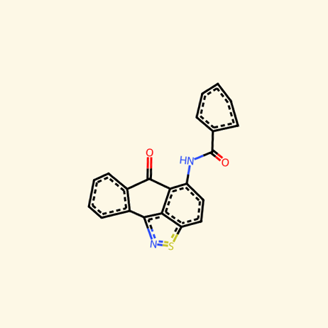 O=C(Nc1ccc2snc3c2c1C(=O)c1ccccc1-3)c1ccccc1